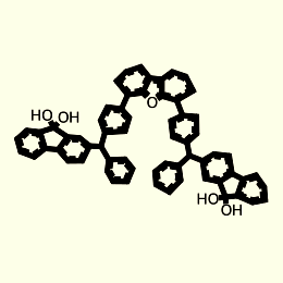 OC1(O)c2ccccc2-c2ccc(C(c3ccccc3)c3ccc(-c4cccc5c4oc4c(-c6ccc(C(c7ccccc7)c7ccc8c(c7)C(O)(O)c7ccccc7-8)cc6)cccc45)cc3)cc21